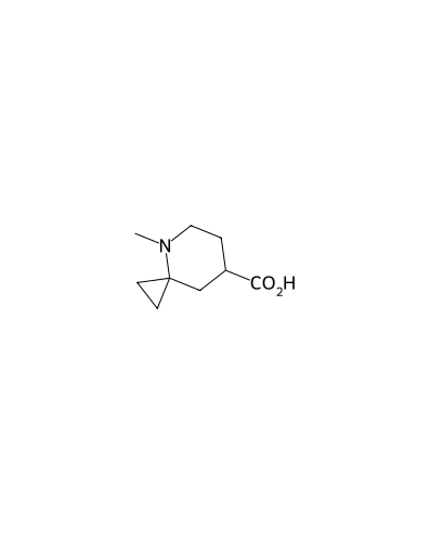 CN1CCC(C(=O)O)CC12CC2